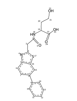 O=C(Cc1nc2ccc(-c3ccccc3)cc2s1)NC(CCO)C(=O)O